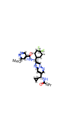 CCCC(=O)N[C@@H](c1cnn2cc([C@@H](NC(=O)c3cnnc(OC)c3)C3CCC(F)(F)CC3)nc2c1)C1CC1